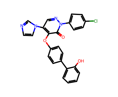 O=c1c(Oc2ccc(-c3ccccc3O)cc2)c(-n2ccnc2)cnn1-c1ccc(Cl)cc1